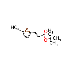 C#Cc1ccc(/C=C/C(=O)OC(C)(C)C)s1